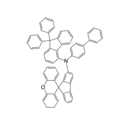 C1=C2Oc3ccccc3C3(C2=CCC1)c1ccccc1-c1ccc(N(c2ccc(-c4ccccc4)cc2)c2cccc4c2-c2ccccc2C4(c2ccccc2)c2ccccc2)cc13